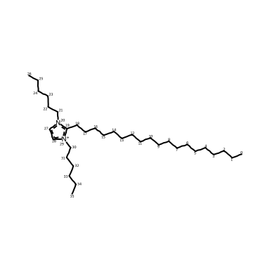 CCCCCCCCCCCCCCCCCCCc1n(CCCCCC)cc[n+]1CCCCCC